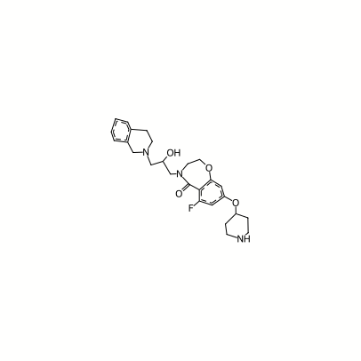 O=C1c2c(F)cc(OC3CCNCC3)cc2OCCN1CC(O)CN1CCc2ccccc2C1